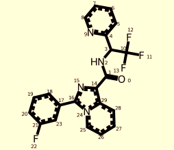 O=C(NC(c1ccccn1)C(F)(F)F)c1nc(-c2cccc(F)c2)n2ccccc12